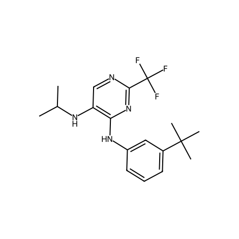 CC(C)Nc1cnc(C(F)(F)F)nc1Nc1cccc(C(C)(C)C)c1